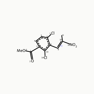 COC(=O)c1ccc(Cl)c(/C=C(\C)[N+](=O)[O-])c1Cl